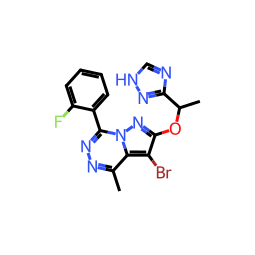 Cc1nnc(-c2ccccc2F)n2nc(OC(C)c3nc[nH]n3)c(Br)c12